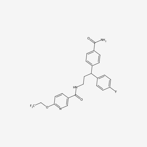 NC(=O)c1ccc(C(CCNC(=O)c2ccc(OCC(F)(F)F)nc2)c2ccc(F)cc2)cc1